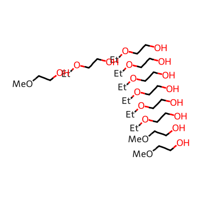 CCOCCO.CCOCCO.CCOCCO.CCOCCO.CCOCCO.CCOCCO.CCOCCO.COCCO.COCCO.COCCO